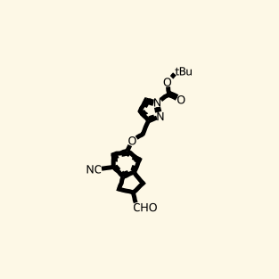 CC(C)(C)OC(=O)n1ccc(COc2cc(C#N)c3c(c2)CC(C=O)C3)n1